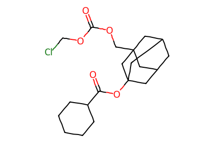 O=C(OCCl)OCC12CC3CC(C1)CC(OC(=O)C1CCCCC1)(C3)C2